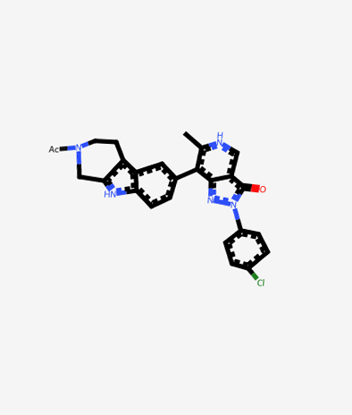 CC(=O)N1CCc2c([nH]c3ccc(-c4c5nn(-c6ccc(Cl)cc6)c(=O)c-5c[nH]c4C)cc23)C1